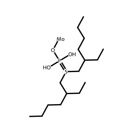 CCCCC(CC)CS(CC(CC)CCCC)=P(O)(O)[O][Mo]